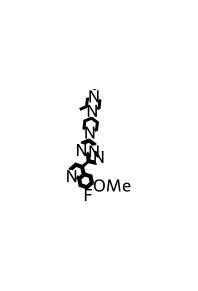 COc1cc2c(-c3cnn4cc(N5CCC(N6CCN(C)CC6C)CC5)cnc34)ccnc2cc1F